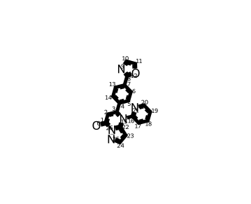 O=c1cc(-c2ccc(-c3ncco3)cc2)n(-c2ccccn2)c2ccnn12